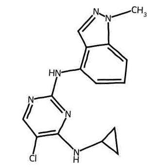 Cn1ncc2c(Nc3ncc(Cl)c(NC4CC4)n3)cccc21